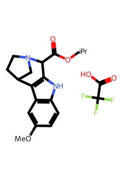 COc1ccc2[nH]c3c(c2c1)C1CCN(C1)C3C(=O)OC(C)C.O=C(O)C(F)(F)F